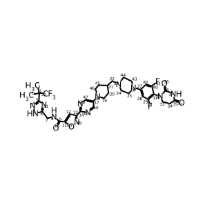 CC(C)(c1n[nH]c(CNC(=O)c2cc(-c3ncc(N4CCC(CN5CCN(c6cc(F)c(N7CCC(=O)NC7=O)c(F)c6)CC5)CC4)cn3)no2)n1)C(F)(F)F